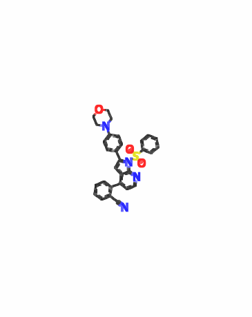 N#Cc1ccccc1-c1ccnc2c1cc(-c1ccc(N3CCOCC3)cc1)n2S(=O)(=O)c1ccccc1